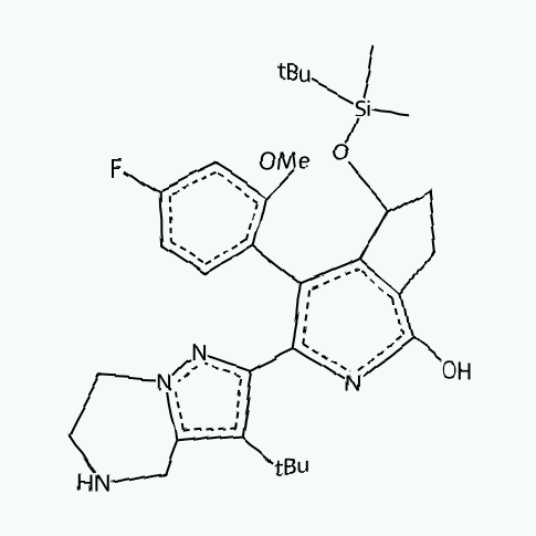 COc1cc(F)ccc1-c1c(-c2nn3c(c2C(C)(C)C)CNCC3)nc(O)c2c1C(O[Si](C)(C)C(C)(C)C)CC2